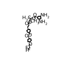 CC(C)(COC(=O)/C=C/c1ccc(OC(=O)c2ccc(OCCC(F)(F)F)cc2)cc1)COC(=O)c1cc(N)cc(N)c1